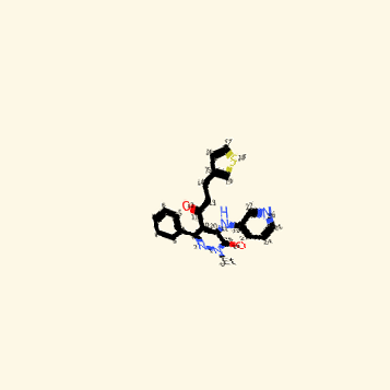 CCn1nc(-c2ccccc2)c(C(=O)CCc2ccsc2)c(Nc2cccnc2)c1=O